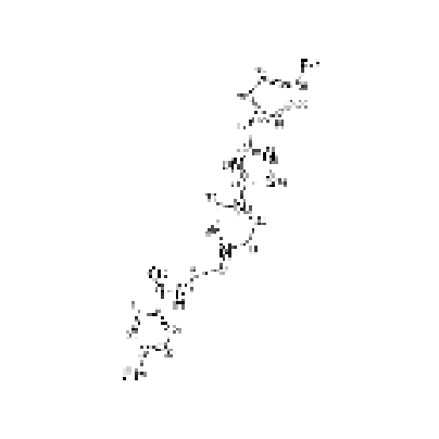 CCc1ccc(C(=O)NCCN2CCN(c3nc(Cc4ccc(F)cc4)ns3)CC2)cc1